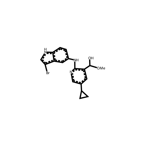 COC(O)c1cc(C2CC2)cnc1Nc1ccc2[nH]cc(Br)c2c1